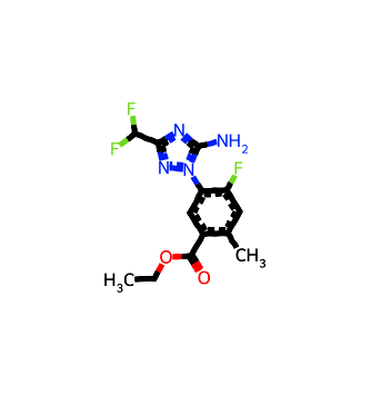 CCOC(=O)c1cc(-n2nc(C(F)F)nc2N)c(F)cc1C